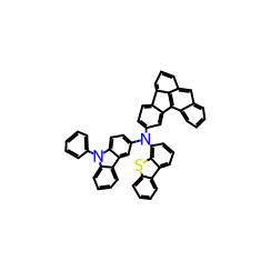 c1ccc(-n2c3ccccc3c3cc(N(c4ccc5c(c4)-c4c6ccccc6cc6cccc-5c46)c4cccc5c4sc4ccccc45)ccc32)cc1